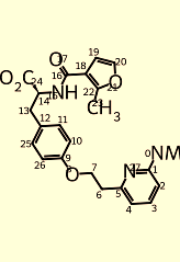 CNc1cccc(CCOc2ccc(C[C@H](NC(=O)c3ccoc3C)C(=O)O)cc2)n1